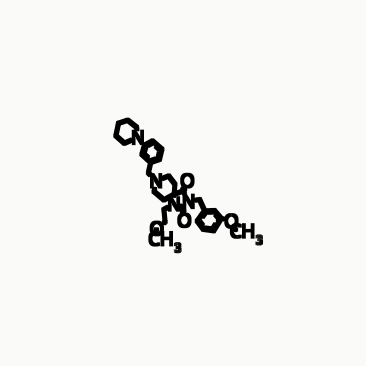 COCCN1C(=O)N(Cc2cccc(OC)c2)C(=O)C12CCN(Cc1cccc(N3CCCCC3)c1)CC2